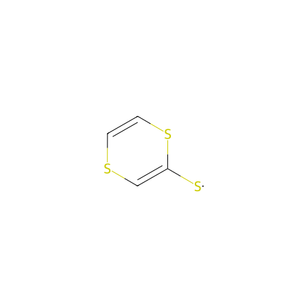 [S]C1=CSC=CS1